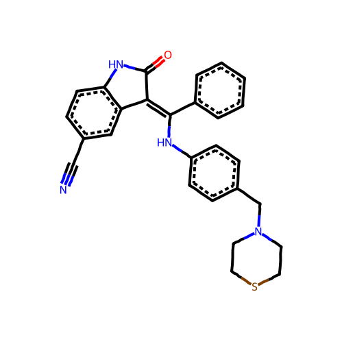 N#Cc1ccc2c(c1)C(=C(Nc1ccc(CN3CCSCC3)cc1)c1ccccc1)C(=O)N2